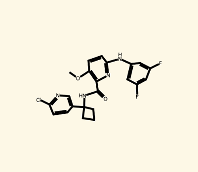 COc1ccc(Nc2cc(F)cc(F)c2)nc1C(=O)NC1(c2ccc(Cl)nc2)CCC1